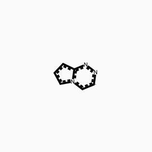 [c]1cn2cccc2nn1